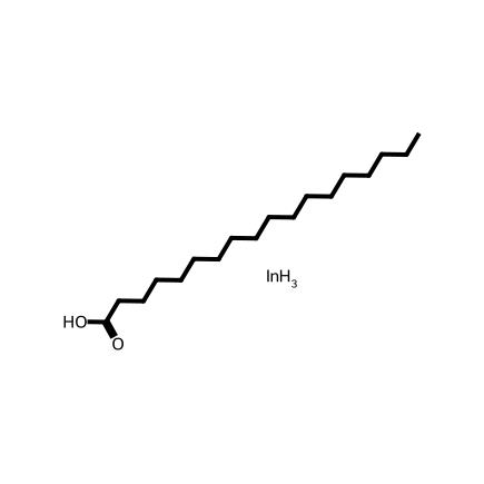 CCCCCCCCCCCCCCCCCC(=O)O.[InH3]